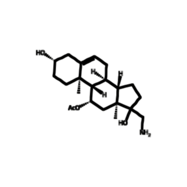 CC(=O)O[C@H]1C[C@@]2(C)[C@@H](CCC2(O)CN)[C@@H]2CC=C3C[C@@H](O)CC[C@]3(C)[C@H]21